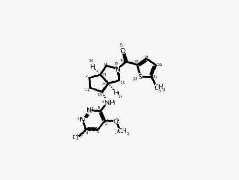 COc1cc(Cl)nnc1N[C@@H]1CC[C@H]2CN(C(=O)c3ccc(C)s3)C[C@H]21